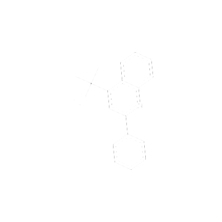 CC(C)(C(=O)O)c1cc(-c2ccccc2)nc2ccccc12